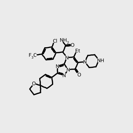 CCc1c(N2CCNCC2)c(=O)n2nc(C3=CCC4(CCCO4)CC3)nc2n1C(C(N)=O)c1ccc(C(F)(F)F)cc1Cl